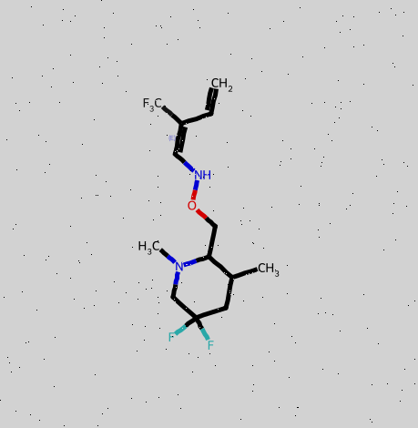 C=C/C(=C\NOCC1C(C)CC(F)(F)CN1C)C(F)(F)F